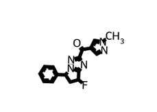 Cn1cc(C(=O)c2nc3n(n2)C(c2ccccc2)CC3F)cn1